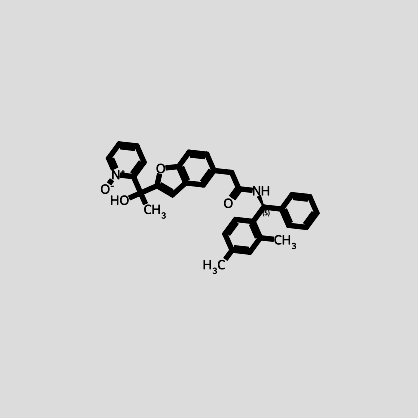 Cc1ccc([C@@H](NC(=O)Cc2ccc3oc(C(C)(O)c4cccc[n+]4[O-])cc3c2)c2ccccc2)c(C)c1